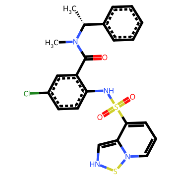 C[C@H](c1ccccc1)N(C)C(=O)c1cc(Cl)ccc1NS(=O)(=O)C1=CC=CN2SNC=C12